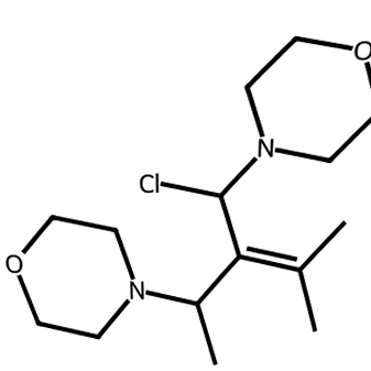 CC(C)=C(C(C)N1CCOCC1)C(Cl)N1CCOCC1